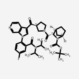 CC(C)N(C(=O)c1cc(F)ccc1-n1cc(C(=O)[C@H]2CCN(C(=O)[C@@H]3[C@H]4CC[C@H](C4)N3C(=O)OC(C)(C)C)C2)c2ccncc21)C(C)C